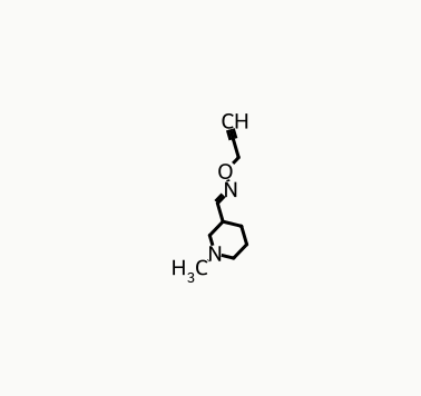 C#CCON=CC1CCCN(C)C1